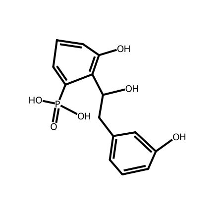 O=P(O)(O)c1cccc(O)c1C(O)Cc1cccc(O)c1